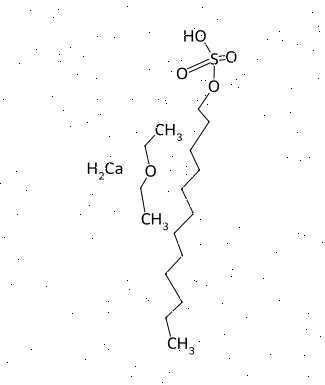 CCCCCCCCCCCCOS(=O)(=O)O.CCOCC.[CaH2]